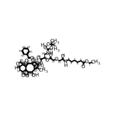 CCOC(=O)CCCCCNC(=O)COCC(=O)O[C@H](CNC(=O)OC(C)(C)C)C(=O)O[C@H]1C[C@@]2(O)[C@@H](OC(=O)c3ccccc3)[C@@H]3[C@@H]4CO[C@@H]4C[C@H](O)[C@@]3(C)C(=O)[C@H](O)C(=C1C)C2(C)C